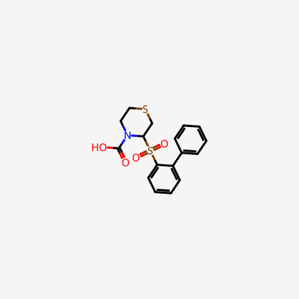 O=C(O)N1CCSCC1S(=O)(=O)c1ccccc1-c1ccccc1